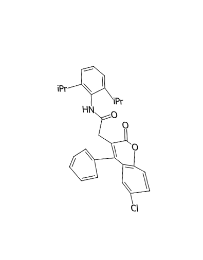 CC(C)c1cccc(C(C)C)c1NC(=O)Cc1c(-c2ccccc2)c2cc(Cl)ccc2oc1=O